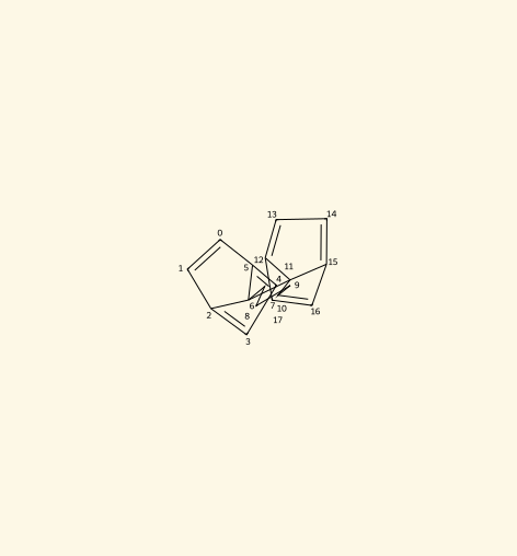 C1=CC2=CC=C1C21CCCCC12C1=CC=C2C=C1